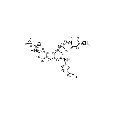 Cc1cc(Nc2nc(Sc3ccc(NC(=O)C4CC4)cc3)cc3nc(CN4CCN(C)CC4)cn23)n[nH]1